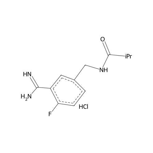 CC(C)C(=O)NCc1ccc(F)c(C(=N)N)c1.Cl